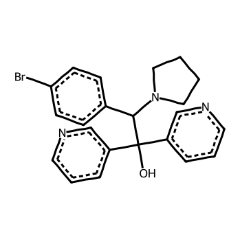 OC(c1cccnc1)(c1cccnc1)C(c1ccc(Br)cc1)N1CCCC1